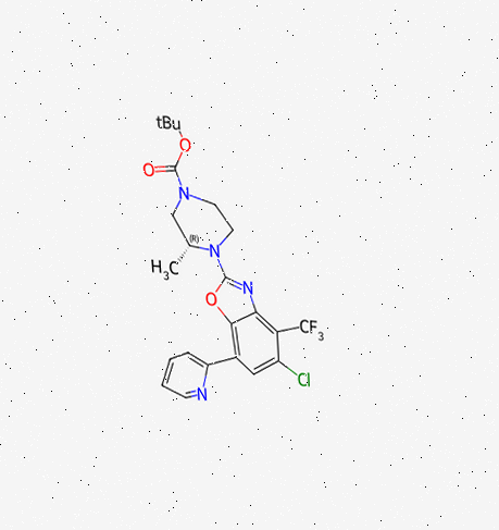 C[C@@H]1CN(C(=O)OC(C)(C)C)CCN1c1nc2c(C(F)(F)F)c(Cl)cc(-c3ccccn3)c2o1